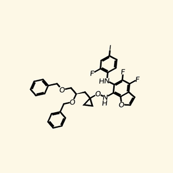 Fc1cc(I)ccc1Nc1c(F)c(F)c2ccoc2c1NOC1(C[C@H](COCc2ccccc2)OCc2ccccc2)CC1